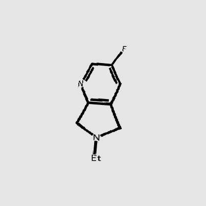 CCN1Cc2cc(F)cnc2C1